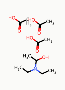 CC(=O)O.CC(=O)O.CC(=O)O.CCN(CC)C(C)O